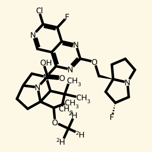 [2H]C([2H])([2H])OC(C)C12CCC(CN(c3nc(OC[C@@]45CCCN4C[C@H](F)C5)nc4c(F)c(Cl)ncc34)C1C(C)(C)C)N2C(=O)O